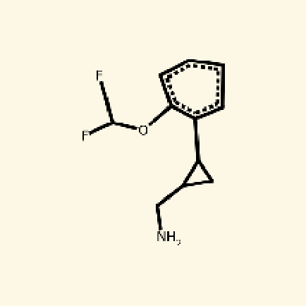 NCC1CC1c1ccccc1OC(F)F